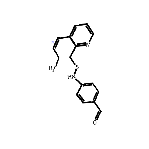 CC/C=C\c1cccnc1CSNc1ccc(C=O)cc1